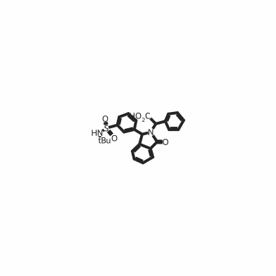 CC(C)(C)NS(=O)(=O)c1cccc(C2c3ccccc3C(=O)N2C(C(=O)O)c2ccccc2)c1